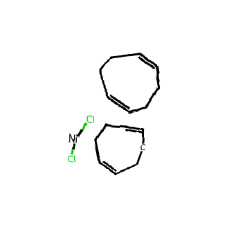 C1=CCCC=CCC1.C1=CCCC=CCC1.[Cl][Ni][Cl]